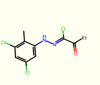 CCC(=O)C(Cl)=NNc1cc(Cl)cc(Cl)c1C